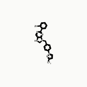 CC(C)c1ccccc1-c1ncc2c(n1)N(Cc1ccc(-n3ccc(C(F)(F)F)n3)cc1)CN2